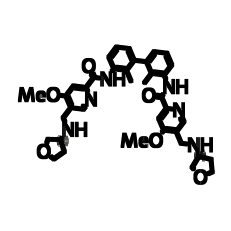 COc1cc(C(=O)Nc2cccc(-c3cccc(NC(=O)c4cc(OC)c(CN[C@@H]5CCOC5)cn4)c3C)c2C)ncc1CN[C@@H]1CCOC1